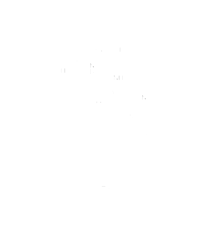 O=C(N[C@@H]1C[C@H]2CC[C@@H]1N2)c1ncc(Sc2ccc(O)cc2)s1